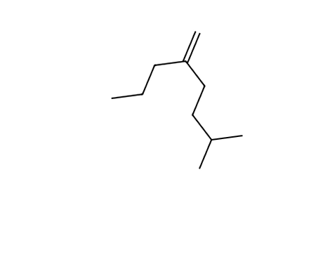 C=C(CCC)CCC(C)C